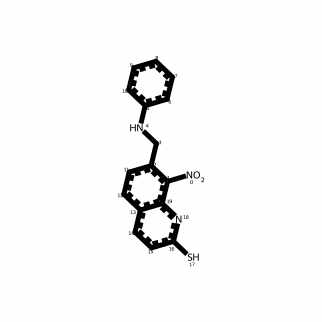 O=[N+]([O-])c1c(CNc2ccccc2)ccc2ccc(S)nc12